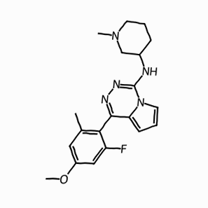 COc1cc(C)c(-c2nnc(NC3CCCN(C)C3)n3cccc23)c(F)c1